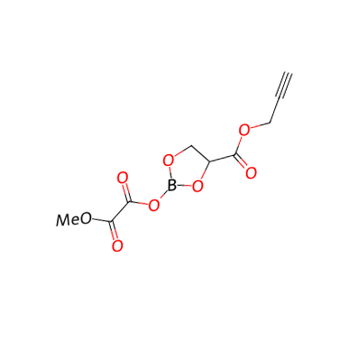 C#CCOC(=O)C1COB(OC(=O)C(=O)OC)O1